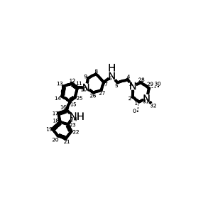 C[C@@H]1CN(CCNC2CCN(c3cccc(-c4cc5ccccc5[nH]4)c3)CC2)C[C@H](C)N1C